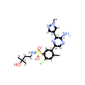 Cc1cc(F)c(S(=O)(=O)NCCC(C)(C)O)cc1-c1cnc(N)c(-c2cnn(C)c2)n1